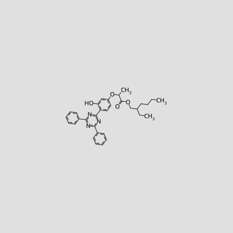 CCCCC(CC)COC(=O)C(C)Oc1ccc(-c2nc(-c3ccccc3)nc(-c3ccccc3)n2)c(O)c1